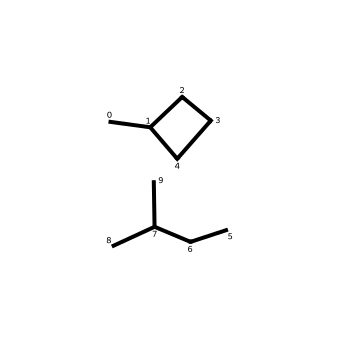 CC1CCC1.CCC(C)C